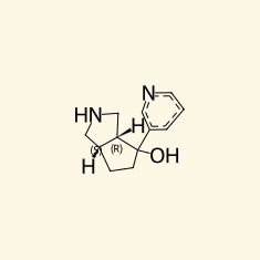 OC1(c2cccnc2)CC[C@@H]2CNC[C@@H]21